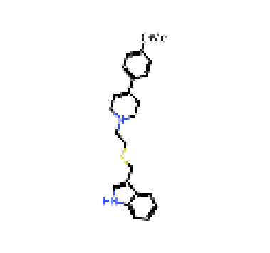 COc1ccc(C2=CCN(CCSCc3c[nH]c4ccccc34)CC2)cc1